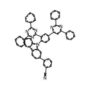 N#Cc1cccc(-c2ccc3c4ccccc4n(-c4ccc(-c5cc(-c6ccccc6)nc(-c6ccccc6)n5)cc4-c4nc(-c5ccccc5)nc(-c5ccccc5)n4)c3c2)c1